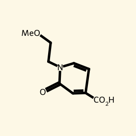 COCCn1ccc(C(=O)O)cc1=O